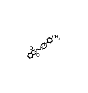 Cc1ccc(N2CCN(CCN3C(=O)c4ccccc4C3=O)CC2)cc1